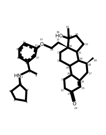 CC(NC1CCCC1)c1cccc(OCC[C@]23CCC4C5CCC(=O)C=C5C[C@H](C)C4C2CCC3(C)O)c1